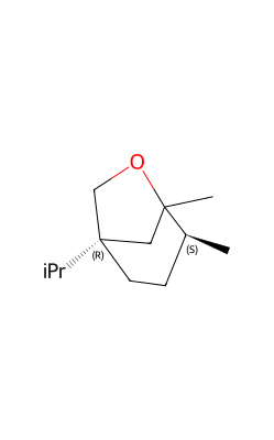 CC(C)[C@@]12CC[C@H](C)C(C)(C1)OC2